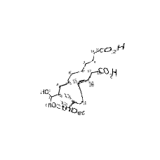 CCCCCCCCC(O)CCCCCCCCC(=O)O.CCCCCCCCCCCCCCCC(=O)O